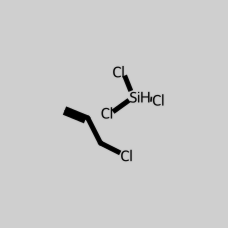 C=CCCl.Cl[SiH](Cl)Cl